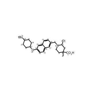 CCC1CC(C)(C(=O)O)CCN1Cc1ccc2cc(OC3CCC(C(C)(C)C)CC3)ccc2c1